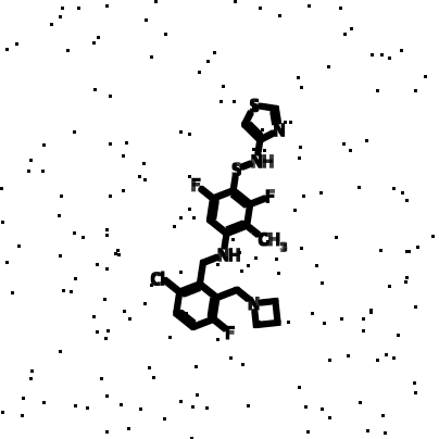 Cc1c(NCc2c(Cl)ccc(F)c2CN2CCC2)cc(F)c(SNc2cscn2)c1F